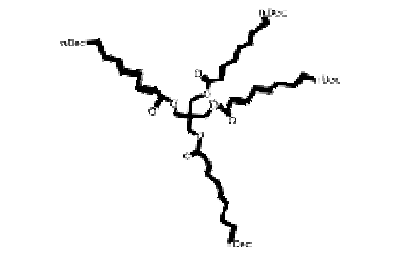 CCCCCCCCCCCCCCC/C=C/C(=O)OCC(COC(=O)/C=C/CCCCCCCCCCCCCCC)(COC(=O)/C=C/CCCCCCCCCCCCCCC)COC(=O)/C=C/CCCCCCCCCCCCCCC